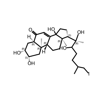 CC(CI)CCC(O)[C@](C)(O)[C@H]1CCC2(O)C3=CC(=O)[C@@H]4C[C@@H](O)[C@@H](O)C[C@]4(C)[C@H]3CC[C@]12C